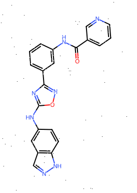 O=C(Nc1cccc(-c2noc(Nc3ccc4[nH]ncc4c3)n2)c1)c1cccnc1